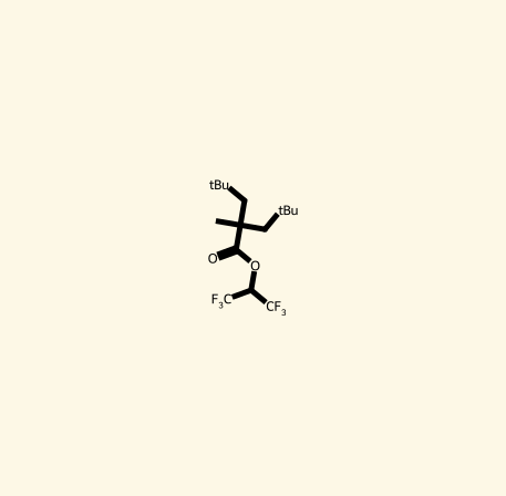 CC(C)(C)CC(C)(CC(C)(C)C)C(=O)OC(C(F)(F)F)C(F)(F)F